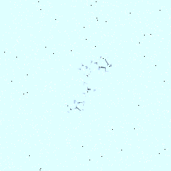 NC(=O)C1=CSC(SCC(=O)NC[C@H]2CN(CC3C=C(Cl)C(F)=CC3)CCO2)N1